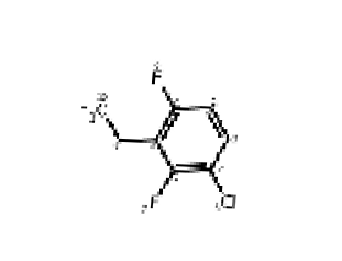 Fc1ccc(Cl)c(F)c1CC(F)(F)F